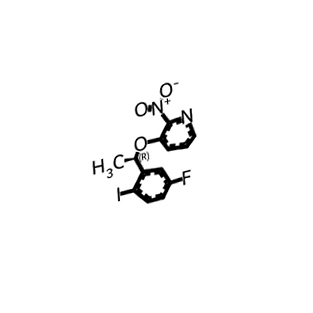 C[C@@H](Oc1cccnc1[N+](=O)[O-])c1cc(F)ccc1I